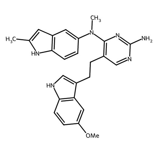 COc1ccc2[nH]cc(CCc3cnc(N)nc3N(C)c3ccc4[nH]c(C)cc4c3)c2c1